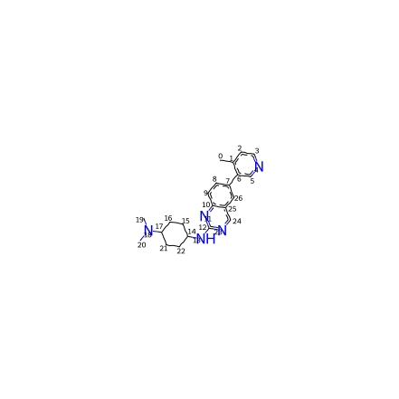 Cc1ccncc1-c1ccc2nc(NC3CCC(N(C)C)CC3)ncc2c1